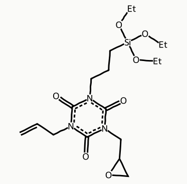 C=CCn1c(=O)n(CCC[Si](OCC)(OCC)OCC)c(=O)n(CC2CO2)c1=O